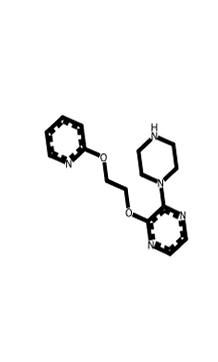 c1ccc(OCCOc2nccnc2N2CCNCC2)nc1